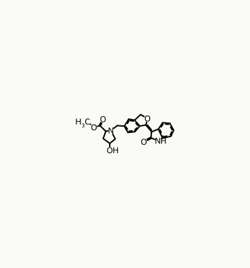 COC(=O)C1CC(O)CN1Cc1ccc2c(c1)COC2=C1C(=O)Nc2ccccc21